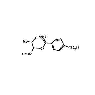 CCCCCCC(OC(=O)c1ccc(C(=O)O)cc1)C(CC)CCCCC